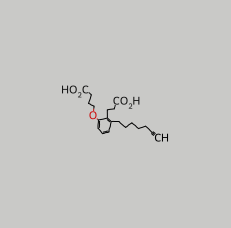 C#CCCCCCc1cccc(OCCCC(=O)O)c1CCC(=O)O